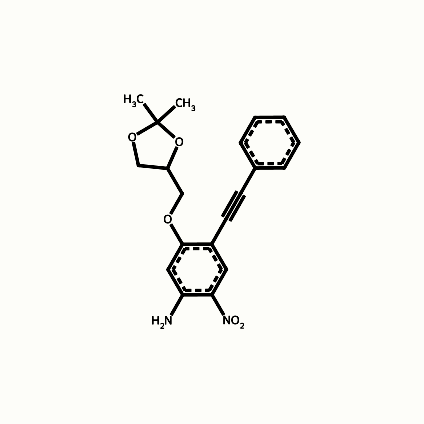 CC1(C)OCC(COc2cc(N)c([N+](=O)[O-])cc2C#Cc2ccccc2)O1